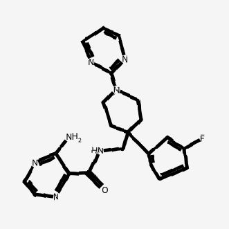 Nc1nccnc1C(=O)NCC1(c2cccc(F)c2)CCN(c2ncccn2)CC1